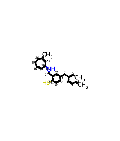 C=C/C=C\C(=C/C)Cc1ccc(S)c(CNC2C=CCCC(C)=C2)c1